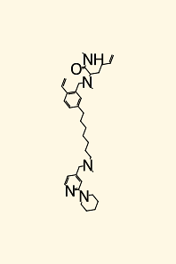 C=CCCC(C(=O)NC)N(C)Cc1cc(CCCCCCCN(C)Cc2ccnc(N3CCCCC3)c2)ccc1C=C